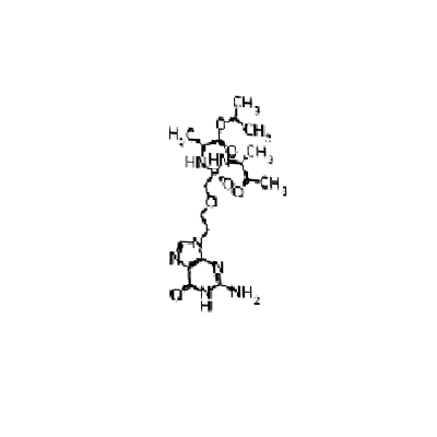 CC(=O)[C@@H](C)NP(=O)(COCCn1cnc2c(=O)[nH]c(N)nc21)N[C@@H](C)C(=O)OC(C)C